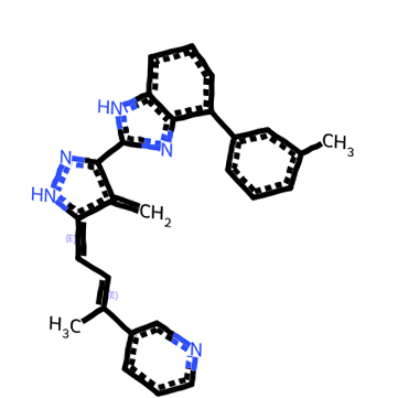 C=c1c(-c2nc3c(-c4cccc(C)c4)cccc3[nH]2)n[nH]/c1=C/C=C(\C)c1cccnc1